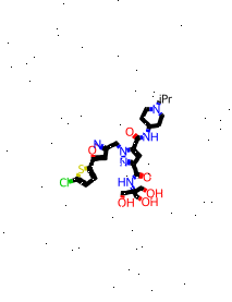 CC(C)N1CCC(NC(=O)c2cc(C(=O)NC(CO)(CO)CO)nn2Cc2cc(-c3ccc(Cl)s3)on2)CC1